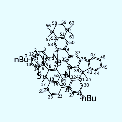 CCCCc1ccc(N2B3C4=C5c6ccccc6SC5(C)C5=C6C(C)(C=CC5C)c5cc(CCCC)ccc5N(c5c3c(cc3c5C(C)(C)c5ccccc5-3)-c3cc5c(cc32)C(C)(C)CCC5(C)C)C46C)cc1